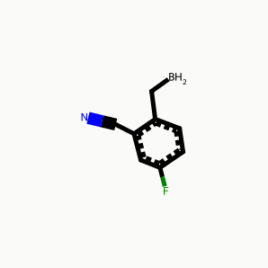 BCc1ccc(F)cc1C#N